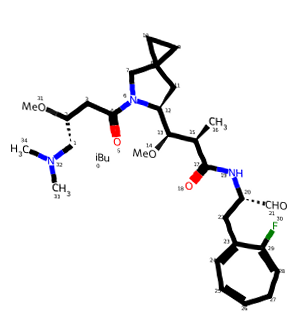 CC[C@H](C)[C@@H](C(CC(=O)N1CC2(CC2)C[C@H]1[C@H](OC)[C@@H](C)C(=O)N[C@H](C=O)CC1=CC=CCC=C1F)OC)N(C)C